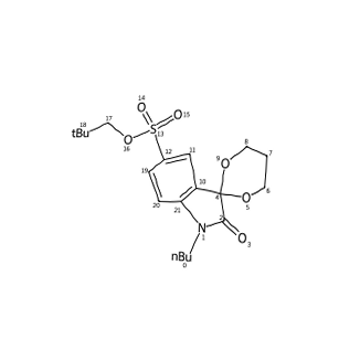 CCCCN1C(=O)C2(OCCCO2)c2cc(S(=O)(=O)OCC(C)(C)C)ccc21